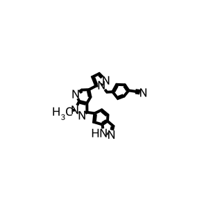 Cn1nc(-c2ccc3cn[nH]c3c2)c2cc(-c3ccnn3Cc3ccc(C#N)cc3)cnc21